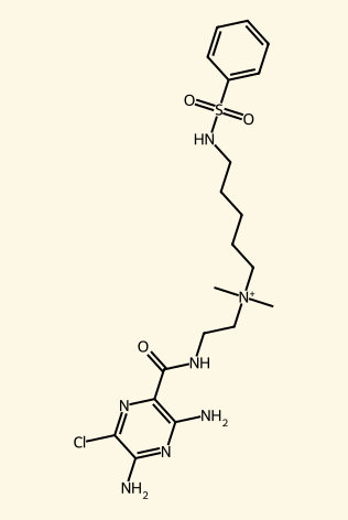 C[N+](C)(CCCCCNS(=O)(=O)c1ccccc1)CCNC(=O)c1nc(Cl)c(N)nc1N